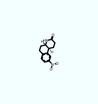 O=C1CC[C@H]2c3cc([N+](=O)[O-])ccc3CC[C@@H]2N1